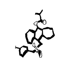 C=C(C)C(=O)Oc1c2ccccc2c(CS(=O)(=O)Cc2ccc(I)cc2)c2ccccc12